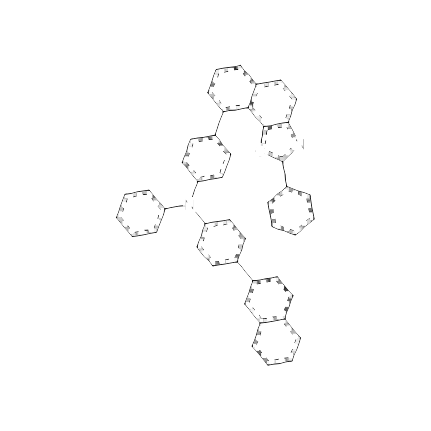 c1ccc(-c2nc3ccc4cccc(-c5ccc(N(c6ccccc6)c6ccc(-c7ccc8ccccc8c7)cc6)cc5)c4c3o2)cc1